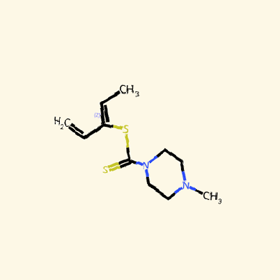 C=C/C(=C/C)SC(=S)N1CCN(C)CC1